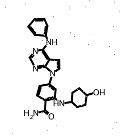 NC(=O)c1ccc(-n2ccc3c(Nc4ccccc4)ncnc32)cc1NC1CCC(O)CC1